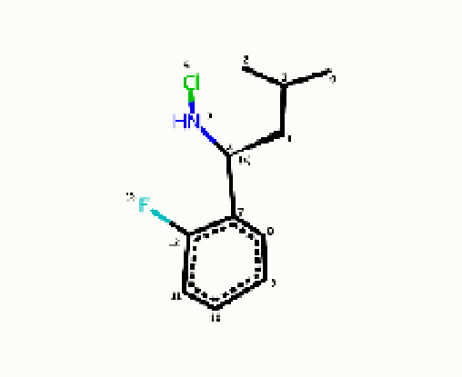 CC(C)C[C@H](NCl)c1ccccc1F